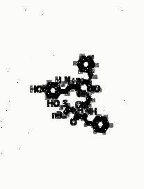 CCCCC(NC(=O)[C@H](Cc1ccccc1)NC(=O)CNC(=O)[C@@H](Cc1ccccc1)NC(=O)[C@@H](N)Cc1ccc(O)cc1)S(=O)(=O)O